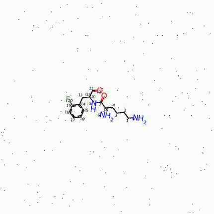 NCCCC[C@H](N)C(=O)N[C@H]([C]=O)Cc1ccccc1F